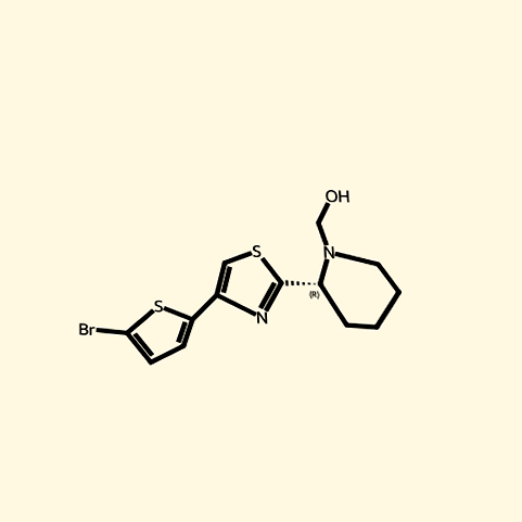 OCN1CCCC[C@@H]1c1nc(-c2ccc(Br)s2)cs1